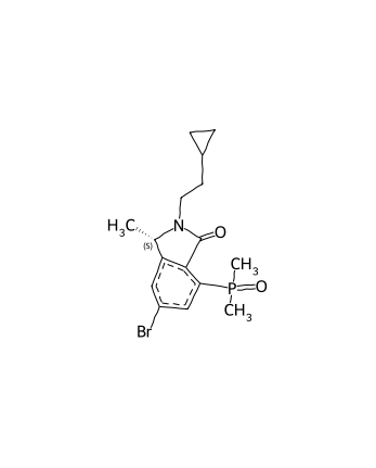 C[C@H]1c2cc(Br)cc(P(C)(C)=O)c2C(=O)N1CCC1CC1